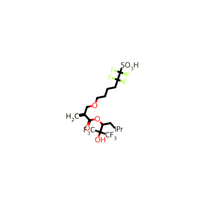 C=C(COCCCCC(F)(F)C(F)(F)S(=O)(=O)O)C(=O)OC(CC(C)C)C(O)(C(F)(F)F)C(F)(F)F